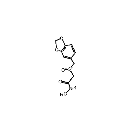 O=C(C[S+]([O-])Cc1ccc2c(c1)OCO2)NO